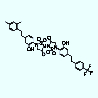 Cc1ccc(CCc2ccc(N3CC(=O)N(N4C(=O)CN(c5ccc(CCc6ccc(C(F)(F)F)cc6)cc5O)S4(=O)=O)S3(=O)=O)c(O)c2)c(C)c1